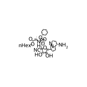 CCCCCCOC(=O)[C@H](C)NP(=O)(OC[C@@]1(C#N)O[C@@H](c2ccc3c(N)ccnn23)[C@H](O)[C@@H]1O)Oc1ccccc1